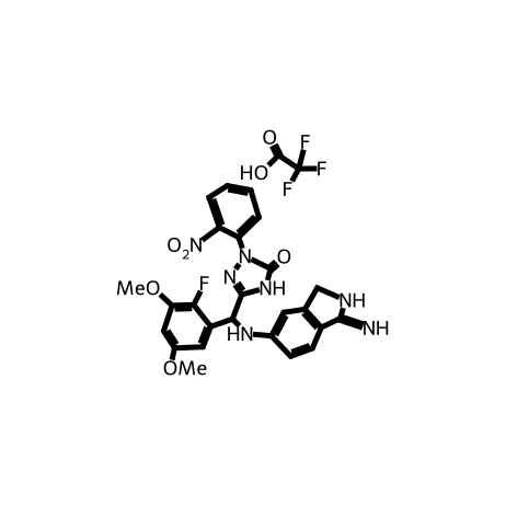 COc1cc(OC)c(F)c(C(Nc2ccc3c(c2)CNC3=N)c2nn(-c3ccccc3[N+](=O)[O-])c(=O)[nH]2)c1.O=C(O)C(F)(F)F